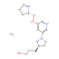 Cl.OCCC[C@@H]1CCN(c2cncc(OC[C@@H]3CCCN3)c2)C1